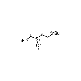 [CH2]CCCCC[S+]([O-])CC(C)C